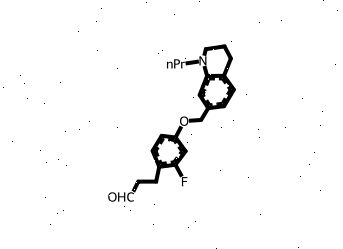 CCCN1CCCc2ccc(COc3ccc(CCC=O)c(F)c3)cc21